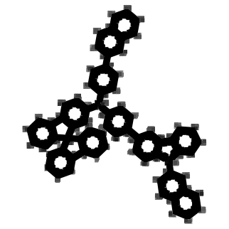 c1ccc2c(c1)-c1ccccc1C21c2ccccc2-c2ccc(N(c3ccc(-c4ccc5ccccc5c4)cc3)c3ccc(-c4ccc5c(c4)c4ccccc4n5-c4ccc5ccccc5c4)cc3)cc21